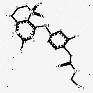 CCOC(=O)Cc1ccc(Nc2nc(Cl)nc3c2S(=O)(=O)CCC3)cc1F